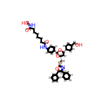 O=C(CCCCCCC(=O)Nc1ccc([C@H]2O[C@@H](CSc3nc(-c4ccccc4)c(-c4ccccc4)o3)C[C@@H](C3C=CC(CO)=CC3)O2)cc1)NO